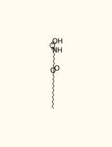 CCCCCCCCCCCCCCCCCOC(=O)CCCCCCCN[C@@H]1CCC[C@H](O)C1